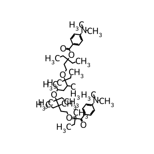 CCC(CC)(CCOC(C)(CC)C(C)CC(C)OC(C)(CC)C(C)(CC)CCO[C@@](C)(CC)C(=O)c1ccc(N(C)C)cc1)OC(=O)c1ccc(N(C)C)cc1